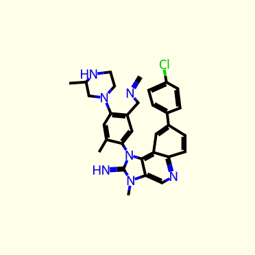 C=NCc1cc(-n2c(=N)n(C)c3cnc4ccc(-c5ccc(Cl)cc5)cc4c32)c(C)cc1N1CCNC(C)C1